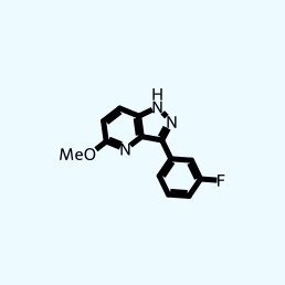 COc1ccc2[nH]nc(-c3cccc(F)c3)c2n1